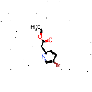 CCOC(=O)Cc1ccc(Br)cn1